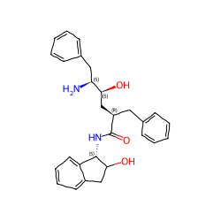 N[C@@H](Cc1ccccc1)[C@@H](O)C[C@@H](Cc1ccccc1)C(=O)N[C@H]1c2ccccc2CC1O